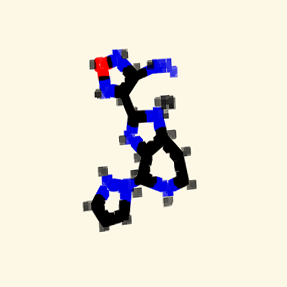 CCn1c(-c2nonc2N)nc2c(-n3cccn3)nccc21